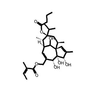 C/C=C(/C)C(=O)OCC1=C[C@@H]2C(O)[C@]3(C=C(C)[C@H](O)[C@@]3(O)[C@@H]1O)[C@H](C)C[C@@](OC(=O)CCC)(C(C)C)[C@H]2C